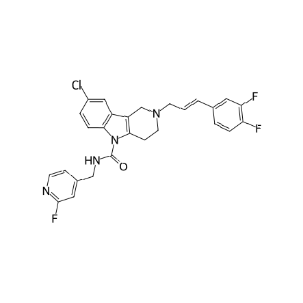 O=C(NCc1ccnc(F)c1)n1c2c(c3cc(Cl)ccc31)CN(C/C=C/c1ccc(F)c(F)c1)CC2